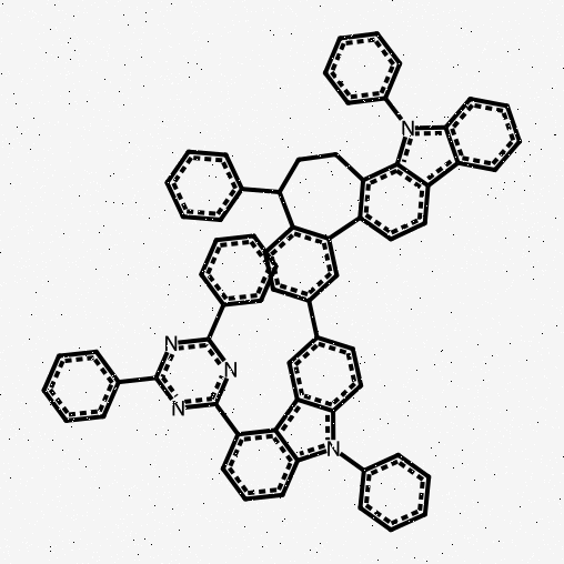 c1ccc(-c2nc(-c3ccccc3)nc(-c3cccc4c3c3cc(-c5ccc6c(c5)-c5ccc7c8ccccc8n(-c8ccccc8)c7c5CCC6c5ccccc5)ccc3n4-c3ccccc3)n2)cc1